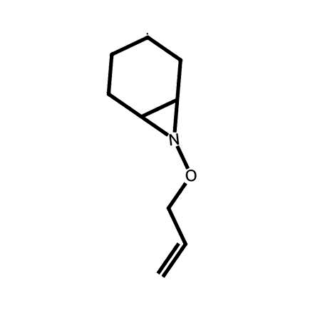 C=CCON1C2C[CH]CCC21